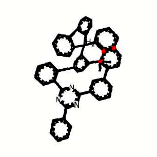 CC1(C)c2ccccc2C2(c3ccccc3-c3ccccc32)c2cc(-c3ccccc3-c3nc(-c4ccccc4)nc(-c4cccc(-c5cccc(N)c5)c4)n3)ccc21